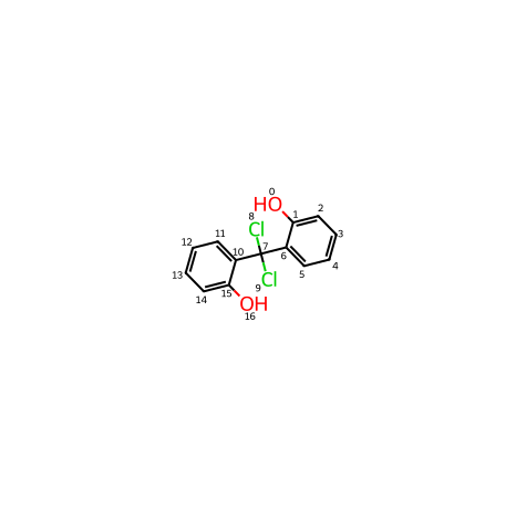 Oc1ccccc1C(Cl)(Cl)c1ccccc1O